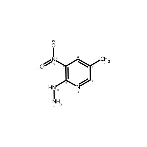 Cc1cnc(NN)c([N+](=O)[O-])c1